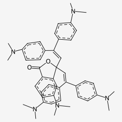 CN(C)c1ccc(C(=CC2(C=C(c3ccc(N(C)C)cc3)c3ccc(N(C)C)cc3)OC(=O)c3ccc(N(C)C)cc32)c2ccc(N(C)C)cc2)cc1